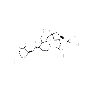 C=C1/C(=C\C=C2/CCC[C@]3(C)[C@@H]([C@](C)(CC#CC(O)(C(F)(F)F)C(F)(F)F)CCCC(C)(C)O)CC[C@@H]23)C[C@@H](O)C[C@@H]1F